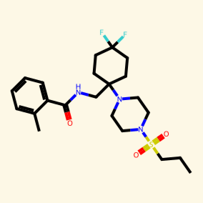 CCCS(=O)(=O)N1CCN(C2(CNC(=O)c3ccccc3C)CCC(F)(F)CC2)CC1